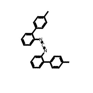 Cc1ccc(-c2ccccc2N=C=Nc2ccccc2-c2ccc(C)cc2)cc1